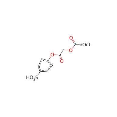 CCCCCCCCC(=O)OCC(=O)Oc1ccc(S(=O)(=O)O)cc1